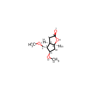 COC[C@@H]1[C@H]2CC(=O)O[C@H]2C[C@H]1OC